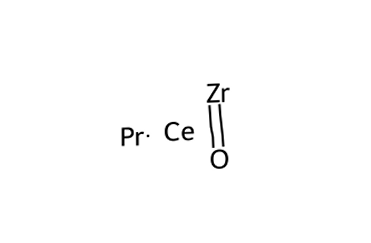 [Ce].[O]=[Zr].[Pr]